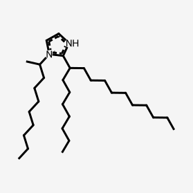 CCCCCCCCCCC(CCCCCCC)c1[nH]cc[n+]1C(C)CCCCCCCC